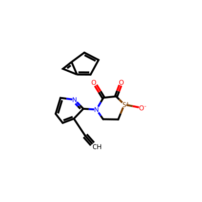 C#Cc1cccnc1N1CC[S+]([O-])C(=O)C1=O.c1cc2cc-2c1